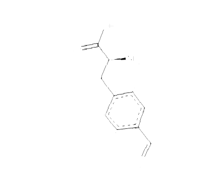 N[C@@H](Cc1ccc(C=S)cc1)C(=O)O